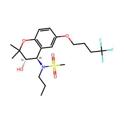 CCCN([C@@H]1c2cc(OCCCC(F)(F)F)ccc2OC(C)(C)[C@H]1O)S(C)(=O)=O